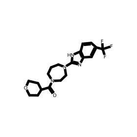 O=C(C1CCOCC1)N1CCCN(c2nc3cc(C(F)(F)F)ccc3[nH]2)CC1